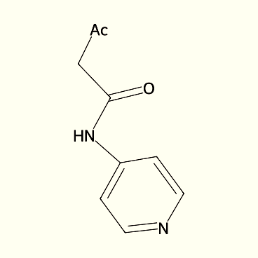 CC(=O)CC(=O)Nc1ccncc1